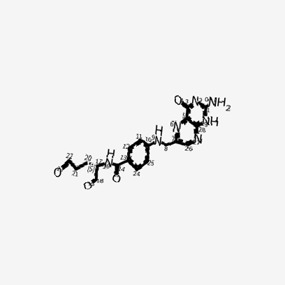 Nc1nc(=O)c2nc(CNc3ccc(C(=O)N[C@H](C=O)CCC=O)cc3)cnc2[nH]1